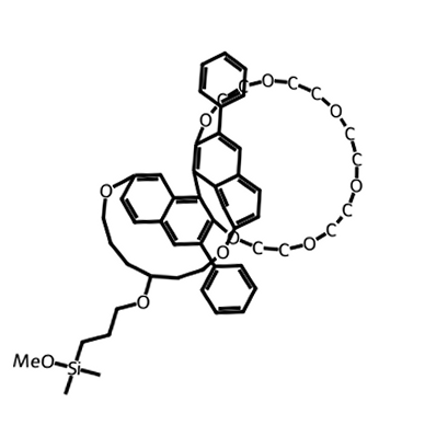 CO[Si](C)(C)CCCOC1CCCOc2ccc3cc(-c4ccccc4)c4c(c3c2)-c2c(c(-c3ccccc3)cc3ccc(cc23)OCC1)OCCOCCOCCOCCOCCO4